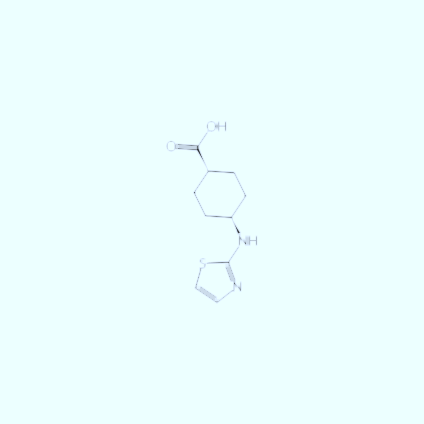 O=C(O)[C@H]1CC[C@@H](Nc2nccs2)CC1